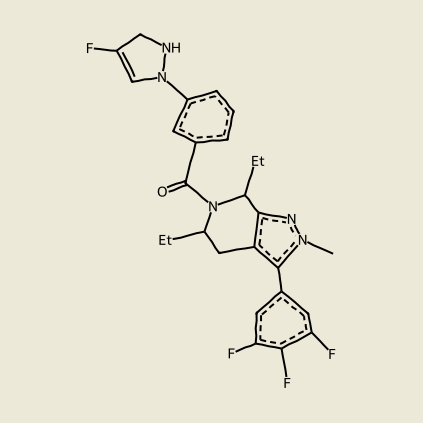 CCC1Cc2c(nn(C)c2-c2cc(F)c(F)c(F)c2)C(CC)N1C(=O)c1cccc(N2C=C(F)CN2)c1